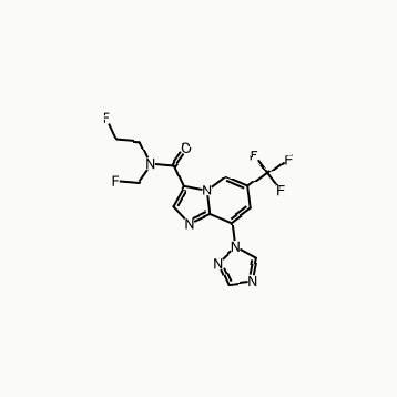 O=C(c1cnc2c(-n3cncn3)cc(C(F)(F)F)cn12)N(CF)CCF